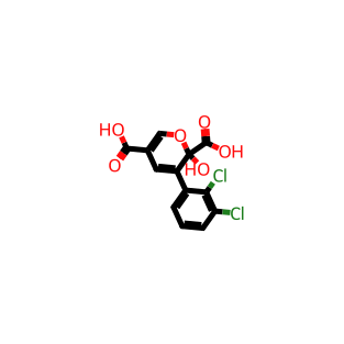 O=C(O)C1=COC(O)(C(=O)O)C(c2cccc(Cl)c2Cl)=C1